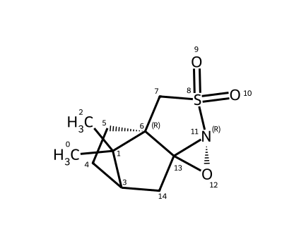 CC1(C)C2CC[C@@]13CS(=O)(=O)[N@]1OC13C2